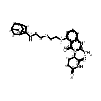 Cc1nc2cccc(NCCOCCNC34CC5CC(CC3C5)C4)c2c(=O)n1C1CCC(=O)NC1=O